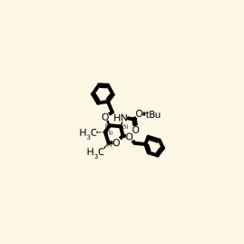 C[C@@H]1[C@@H](OCc2ccccc2)[C@H](NC(=O)OC(C)(C)C)C(OCc2ccccc2)O[C@@H]1C